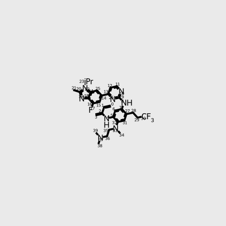 C=CC(=C)Nc1cc(Nc2nccc(-c3cc(F)c4nc(C)n(C(C)C)c4c3)n2)c(CCC(F)(F)F)cc1N(C)CCN(C)C